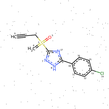 C#CCS(=C)(=O)c1n[nH]c(-c2ccc(Cl)cc2)n1